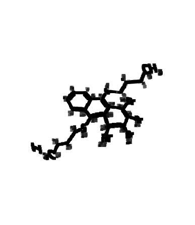 CCCCSc1c2ccccc2c(SCCCC)c2c(Br)c(Br)c(Br)c(Br)c12